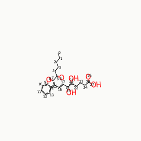 CCCCCC(=O)c1oc2ccccc2c1/C=C/[C@@H](O)[C@@H](O)CCCC(=O)O